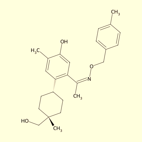 CC(=NOCc1ccc(C)cc1)c1cc(O)c(C)cc1[C@H]1CC[C@@](C)(CO)CC1